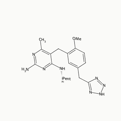 CCC[C@@H](C)Nc1nc(N)nc(C)c1Cc1cc(Cc2nn[nH]n2)ccc1OC